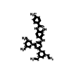 Cc1ccc(C(=O)Nc2ccc(Nc3nc(N4C[C@H](N)C[C@H](N)C4)nc(N4C[C@H](CN)C[C@H](CN)C4)n3)cc2O)cc1